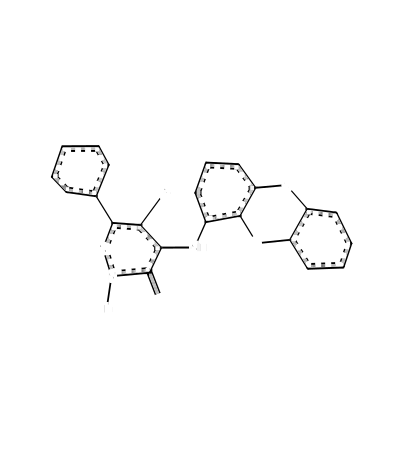 CCn1nc(-c2ccccc2)c(C(C)=O)c(Nc2cccc3c2Sc2ccccc2S3)c1=O